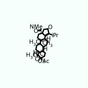 CNC(=O)[C@@]12CC[C@]3(C)[C@H](CC[C@@H]4[C@@]5(C)CC[C@H](OC(C)=O)C(C)(C)[C@@H]5CC[C@]43C)C1=C(C(C)C)C(=O)C2